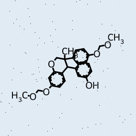 COCOc1ccc(C2(C)COc3cc(OCOC)ccc3C2c2cccc(O)c2)cc1